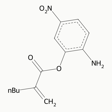 C=C(CCCC)C(=O)Oc1cc([N+](=O)[O-])ccc1N